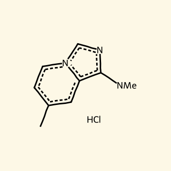 CNc1ncn2ccc(C)cc12.Cl